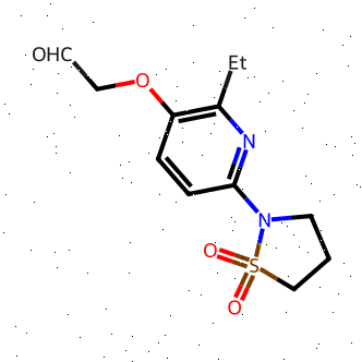 CCc1nc(N2CCCS2(=O)=O)ccc1OCC=O